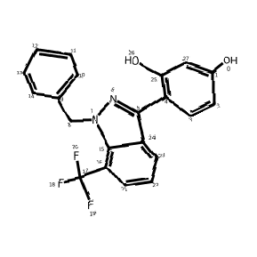 Oc1ccc(-c2nn(Cc3ccccc3)c3c(C(F)(F)F)cccc23)c(O)c1